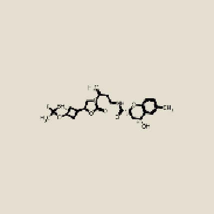 BC(C)(F)OC1CC(C2CN(C(=C)CCNC(=O)[C@H]3C[C@@H](O)c4cc(C)ccc4O3)C(=O)O2)C1